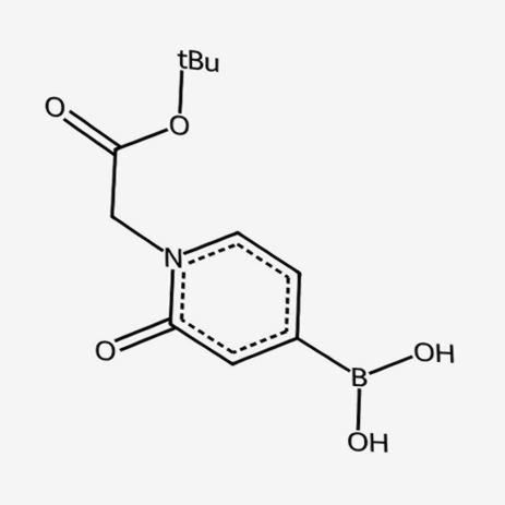 CC(C)(C)OC(=O)Cn1ccc(B(O)O)cc1=O